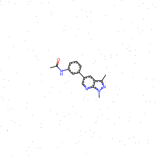 CC(=O)Nc1cccc(-c2cnc3c(c2)c(C)nn3C)c1